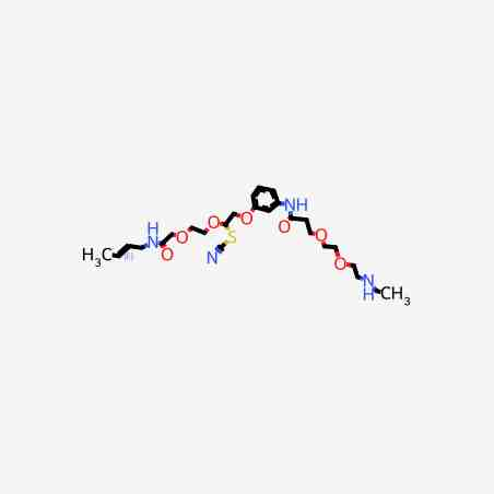 C/C=C/CNC(=O)COCCOC(COc1cccc(NC(=O)CCOCCOCCNCC)c1)SC#N